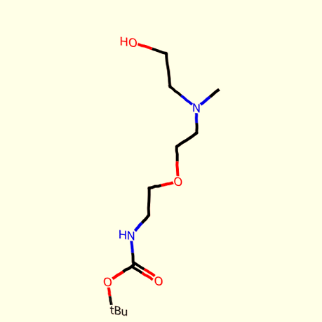 CN(CCO)CCOCCNC(=O)OC(C)(C)C